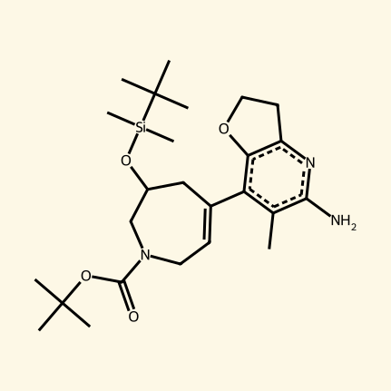 Cc1c(N)nc2c(c1C1=CCN(C(=O)OC(C)(C)C)CC(O[Si](C)(C)C(C)(C)C)C1)OCC2